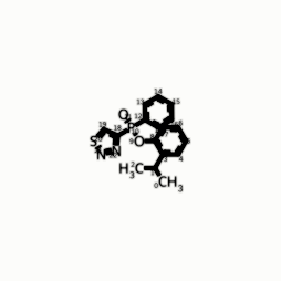 CC(C)c1ccccc1OP(=O)(c1ccccc1)c1csnn1